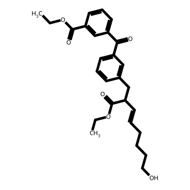 CCOC(=O)c1cccc(C(=O)c2cccc(CC(C=CCCCCO)C(=O)OCC)c2)c1